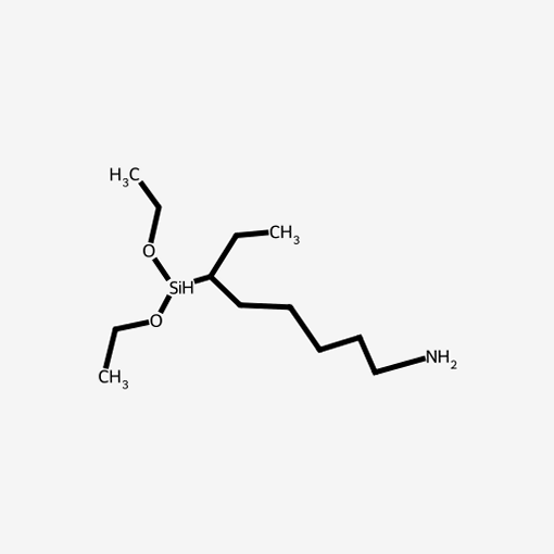 CCO[SiH](OCC)C(CC)CCCCCN